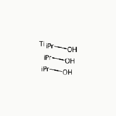 CC(C)O.CC(C)O.CC(C)O.[Ti]